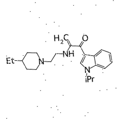 C=C(NCCN1CCC(CC)CC1)C(=O)c1cn(C(C)C)c2ccccc12